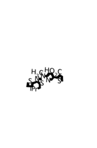 CC(C)Cc1sc(N(C)c2ncc(-c3cccs3)cc2C(=O)O)nc1-c1cccs1